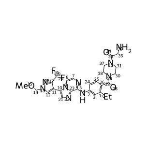 CCc1cc(Nc2nccn3c(-c4cn(COC)nc4C(F)F)cnc23)ccc1C(=O)N1CCN(C(=O)CN)CC1